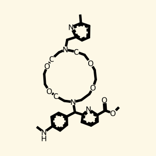 CNc1ccc(C(c2cccc(C(=O)OC)n2)N2CCOCCOCCN(Cc3cccc(C)n3)CCOCCOCC2)cc1